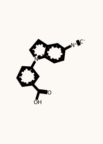 [C-]#[N+]c1ccc2c(ccn2-c2cccc(C(=O)O)c2)c1